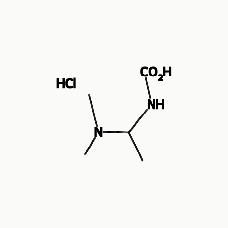 CC(NC(=O)O)N(C)C.Cl